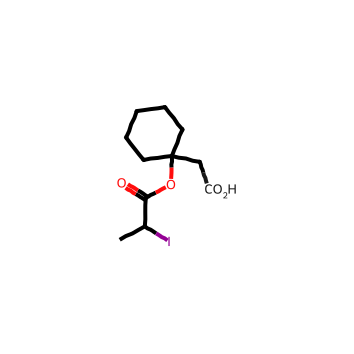 CC(I)C(=O)OC1(CC(=O)O)CCCCC1